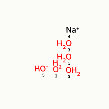 O.O.O.O.[Na+].[OH-]